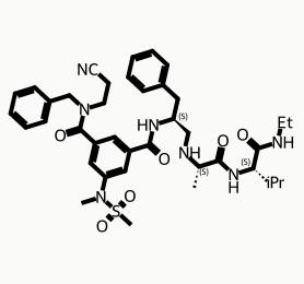 CCNC(=O)[C@@H](NC(=O)[C@H](C)NC[C@H](Cc1ccccc1)NC(=O)c1cc(C(=O)N(CCC#N)Cc2ccccc2)cc(N(C)S(C)(=O)=O)c1)C(C)C